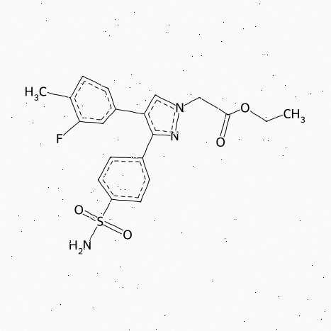 CCOC(=O)Cn1cc(-c2ccc(C)c(F)c2)c(-c2ccc(S(N)(=O)=O)cc2)n1